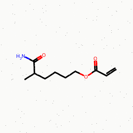 C=CC(=O)OCCCCC(C)C(N)=O